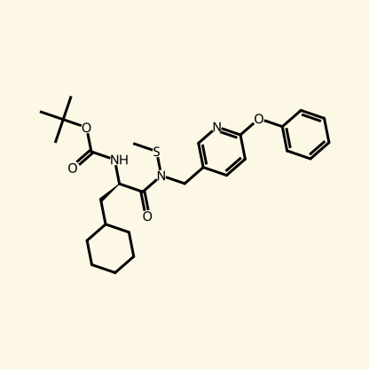 CSN(Cc1ccc(Oc2ccccc2)nc1)C(=O)[C@@H](CC1CCCCC1)NC(=O)OC(C)(C)C